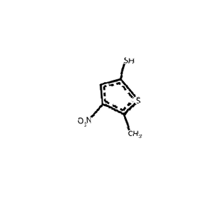 Cc1sc(S)cc1[N+](=O)[O-]